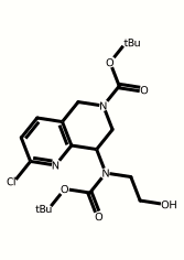 CC(C)(C)OC(=O)N1Cc2ccc(Cl)nc2C(N(CCO)C(=O)OC(C)(C)C)C1